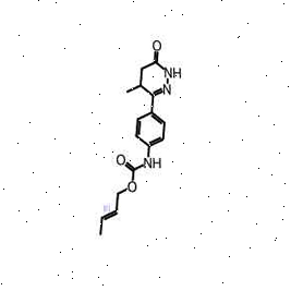 C/C=C/COC(=O)Nc1ccc(C2=NNC(=O)CC2C)cc1